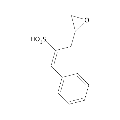 O=S(=O)(O)C(=Cc1ccccc1)CC1CO1